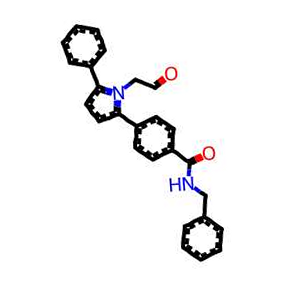 O=CCn1c(-c2ccccc2)ccc1-c1ccc(C(=O)NCc2ccccc2)cc1